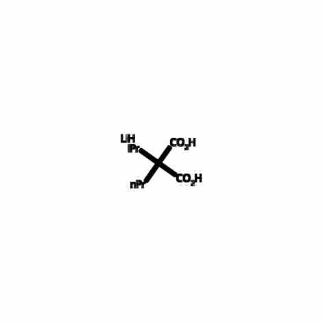 CCCC(C(=O)O)(C(=O)O)C(C)C.[LiH]